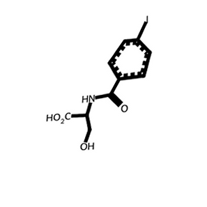 O=C(NC(CO)C(=O)O)c1ccc(I)cc1